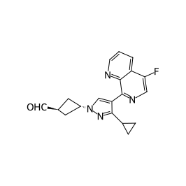 O=C[C@H]1C[C@H](n2cc(-c3ncc(F)c4cccnc34)c(C3CC3)n2)C1